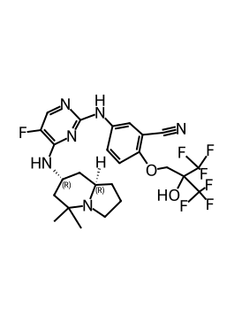 CC1(C)C[C@H](Nc2nc(Nc3ccc(OCC(O)(C(F)(F)F)C(F)(F)F)c(C#N)c3)ncc2F)C[C@H]2CCCN21